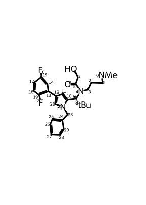 CNCCCN(C(=O)CO)[C@@H](c1cc(-c2cc(F)ccc2F)cn1Cc1ccccc1)C(C)(C)C